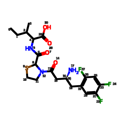 CCC(C)C(NC(=O)C1SCCN1C(=O)C[C@H](N)Cc1cc(F)c(F)cc1F)C(=O)O